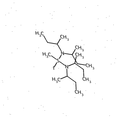 CCC(C)N(C(C)CC)S(C)(I)N(C(C)CC)C(C)CC